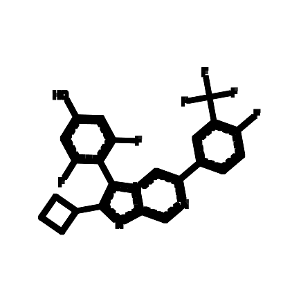 Oc1cc(F)c(-c2c(C3CCC3)nc3cnc(-c4ccc(F)c(C(F)(F)F)c4)cn23)c(F)c1